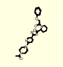 CC(=O)N1CCN(c2ccc(-c3noc(C4CCCCN4C(=O)COc4ccccc4)n3)cn2)CC1